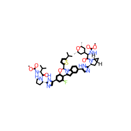 COC(=O)NC(C(=O)N1[C@@H]2C[C@@H]2C[C@H]1c1ncc(-c2ccc3c(c2)cc2n3C(c3ccc(C(C)C)s3)Oc3cc(-c4cnc([C@@H]5CCCN5C(=O)[C@@H](NC(=O)OC)C(C)C)[nH]4)cc(F)c3-2)[nH]1)C1C[C@@H](C)O[C@@H](C)C1